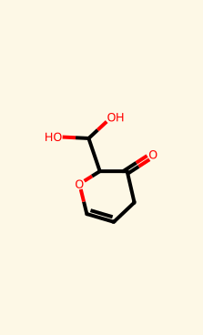 O=C1CC=COC1C(O)O